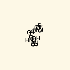 O=C(c1ccc(N[S+]([O-])c2cccc3cccnc23)c(O)c1)N1CCN(C(=O)c2cccnc2C(F)(F)F)CC1